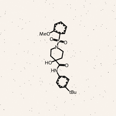 COc1ccccc1S(=O)(=O)N1CCC(O)(C(=O)Nc2ccc(C(C)(C)C)cc2)CC1